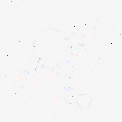 CCOc1cc2ccccc2c(O[C@@H]2C[C@H]3C(=O)N[C@]4(C(=O)NS(=O)(=O)C5(CF)CC5)CC4/C=C\CC[C@H](C)C[C@@H](C)[C@H](NC(=O)OC(C)(C)C(C)(F)F)C(=O)N3C2)n1